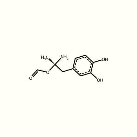 C[C@@](N)(Cc1ccc(O)c(O)c1)OC=O